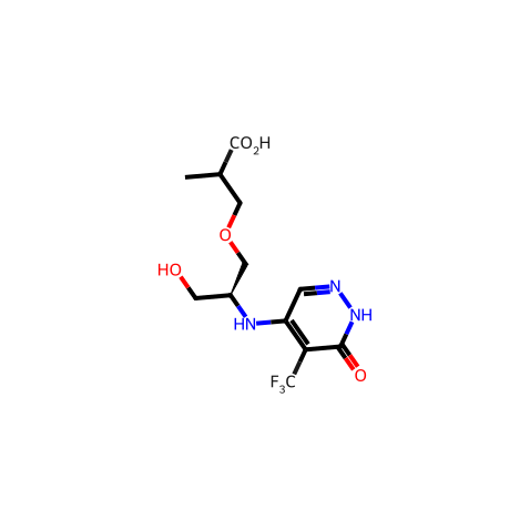 CC(COC[C@H](CO)Nc1cn[nH]c(=O)c1C(F)(F)F)C(=O)O